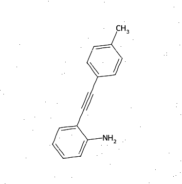 Cc1ccc(C#Cc2ccccc2N)cc1